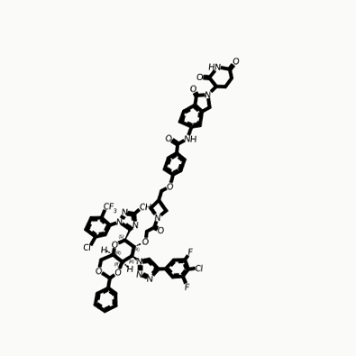 Cc1nc([C@@H]2O[C@@H]3COC(c4ccccc4)O[C@@H]3[C@H](n3cc(-c4cc(F)c(Cl)c(F)c4)nn3)[C@H]2OCC(=O)N2CC(COc3ccc(C(=O)Nc4ccc5c(c4)CN(C4CCC(=O)NC4=O)C5=O)cc3)C2)n(-c2cc(Cl)ccc2C(F)(F)F)n1